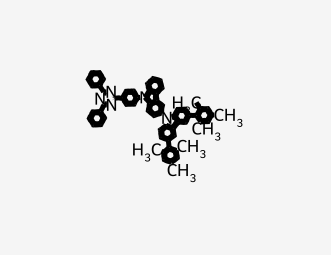 Cc1cc(C)c(-c2ccc3c(c2)c2cc(-c4c(C)cc(C)cc4C)ccc2n3-c2ccc3c(c2)c2ccccc2n3-c2ccc(-c3nc(-c4ccccc4)nc(-c4ccccc4)n3)cc2)c(C)c1